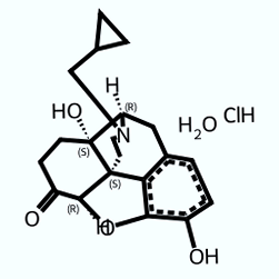 Cl.O.O=C1CC[C@@]2(O)[C@H]3Cc4ccc(O)c5c4[C@@]2(CCN3CC2CC2)[C@H]1O5